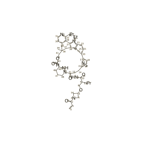 C=CC(=O)N1CC(OCC(C(=O)N[C@H]2Cc3nc(cs3)-c3ccc4c(c3)c(c(-c3cccnc3C(C)C)n4CC)CC(C)(C)COC(=O)[C@@H]3CCCN(N3)C2=O)C(C)C)C1